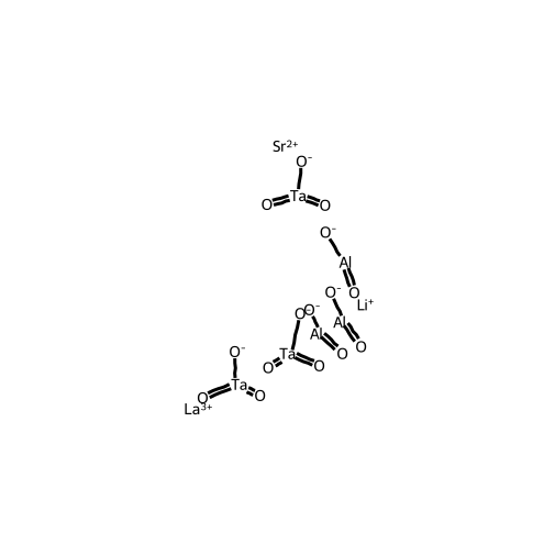 [La+3].[Li+].[O]=[Al][O-].[O]=[Al][O-].[O]=[Al][O-].[O]=[Ta](=[O])[O-].[O]=[Ta](=[O])[O-].[O]=[Ta](=[O])[O-].[Sr+2]